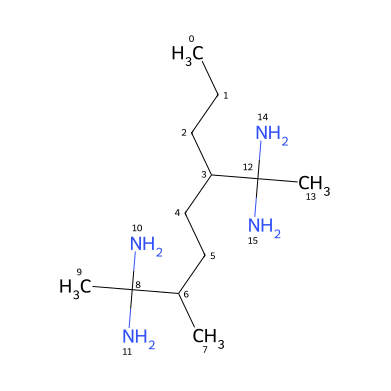 CCCC(CCC(C)C(C)(N)N)C(C)(N)N